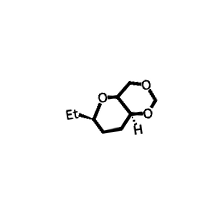 CC[C@@H]1CC[C@@H]2OCOCC2O1